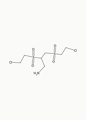 NCC(CS(=O)(=O)CCCl)S(=O)(=O)CCCl